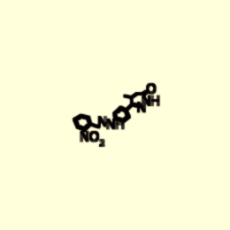 CC1CC(=O)NN=C1c1ccc(NN=Cc2ccccc2[N+](=O)[O-])cc1